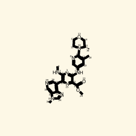 CNc1nc(Nc2cnc(N3CCOC[C@@H]3C)c(C)c2)c(C(=O)OC)nc1-c1cncc2c1ncn2C